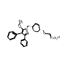 CCOc1c(-c2ccccc2)c(-c2ccccc2)nn1C[C@H]1CC[C@@H](COCC(=O)O)CC1